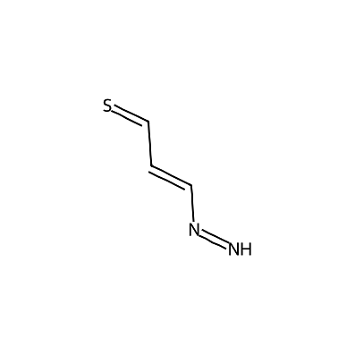 N=NC=CC=S